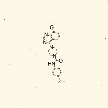 COc1cccc2c(N3CCN(C(=O)Nc4ccc(C(C)C)cc4)CC3)ncnc12